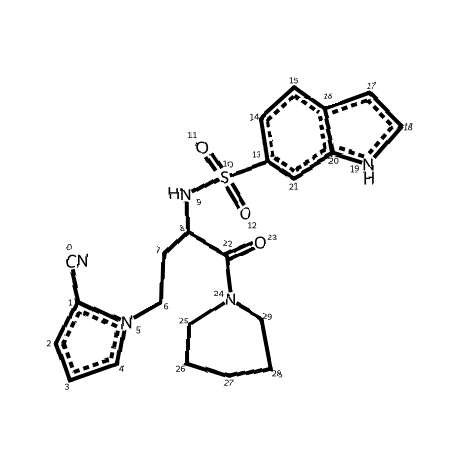 N#Cc1cccn1CCC(NS(=O)(=O)c1ccc2cc[nH]c2c1)C(=O)N1CCCCC1